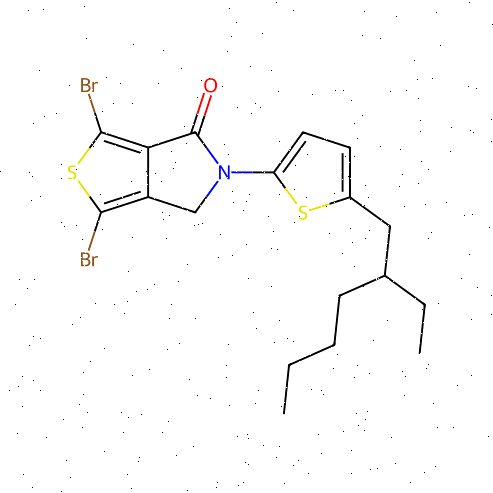 CCCCC(CC)Cc1ccc(N2Cc3c(Br)sc(Br)c3C2=O)s1